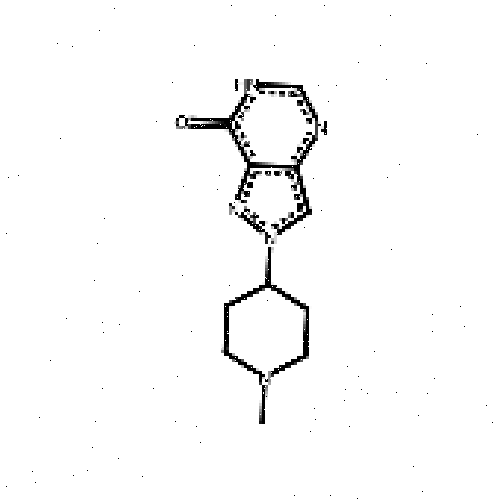 CN1CCC(n2cc3nc[nH]c(=O)c3n2)CC1